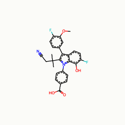 COc1cc(-c2c(C(C)(C)CC#N)n(-c3ccc(C(=O)O)cc3)c3c(O)c(F)ccc23)ccc1F